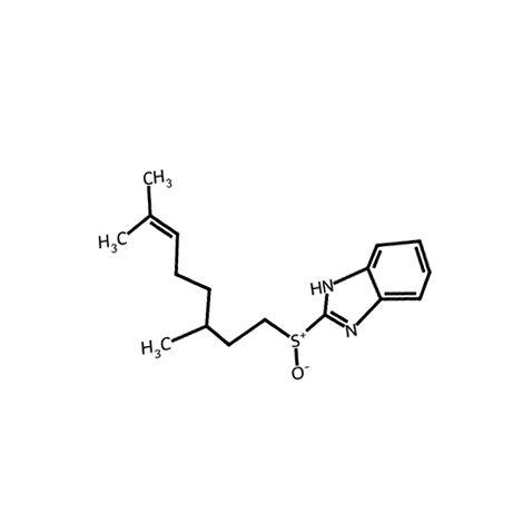 CC(C)=CCCC(C)CC[S+]([O-])c1nc2ccccc2[nH]1